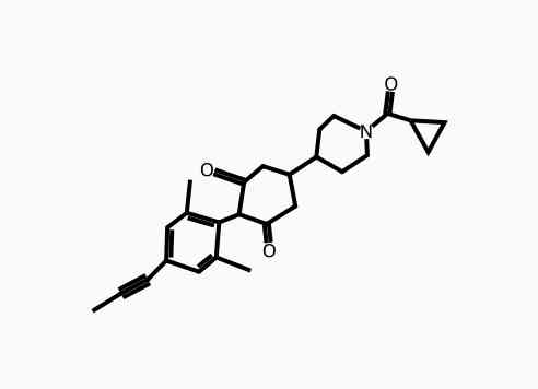 CC#Cc1cc(C)c(C2C(=O)CC(C3CCN(C(=O)C4CC4)CC3)CC2=O)c(C)c1